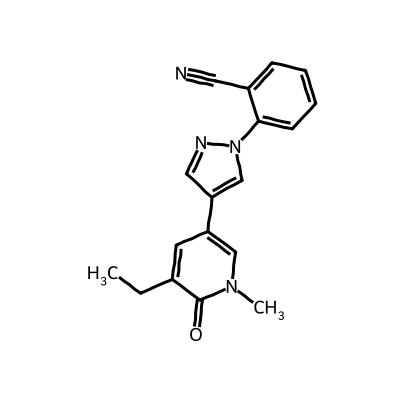 CCc1cc(-c2cnn(-c3ccccc3C#N)c2)cn(C)c1=O